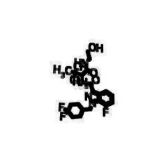 CC(C)(C)[C@H](NC(=O)c1nn(CC2CCC(F)(F)CC2)c2c(F)cccc12)C(=O)NCCO